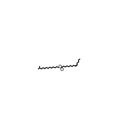 CCCC/C=C\CCCCCCCC(=O)OCCCCCCCCCCCC(C)C